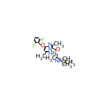 Cc1cc(OCc2c(F)cccc2F)c2nc(C)c(C(=O)NCC(C)(N)CCS(C)(C)C)n2c1